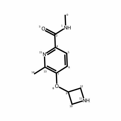 CNC(=O)c1ccc(OC2CNC2)c(C)n1